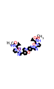 COC(=O)N[C@H](C(=O)N1CCC[C@H]1c1ncc(-c2ccc3c(c2)Oc2ccc(-c4cnc([C@@H]5CCCN5C(=O)[C@@H](NC(C)=O)C5CC5)[nH]4)c4ccn-3c24)[nH]1)C1CC1